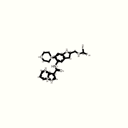 O=C(Nc1cc2c(cc1N1CCOCC1)OC(COC(F)F)C2)c1cnn2cccnc12